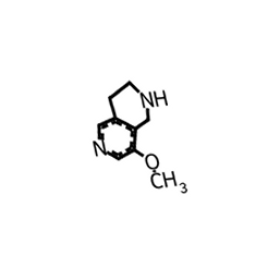 COc1cncc2c1CNCC2